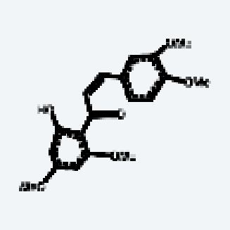 COc1cc(O)c(C(=O)/C=C\c2ccc(OC)c(OC)c2)c(OC)c1